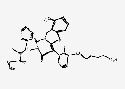 Cc1c(-c2cccc(OCCCCC(=O)O)c2F)c(=O)n(C[C@@H](c2ccccc2)N(C)C(=O)OC(C)(C)C)c(=O)n1Cc1c(F)cccc1C(F)(F)F